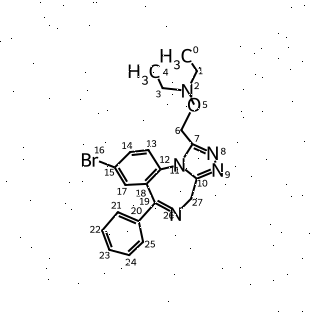 CCN(CC)OCc1nnc2n1-c1ccc(Br)cc1C(c1ccccc1)=NC2